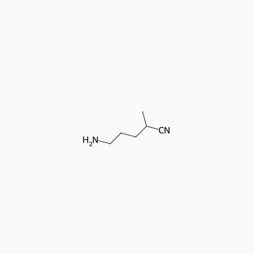 CC(C#N)CCCN